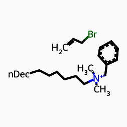 C=CCBr.CCCCCCCCCCCCCCCC[N+](C)(C)Cc1ccccc1